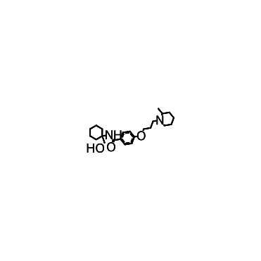 CC1CCCCN1CCCOc1ccc(C(=O)NC2(CO)CCCCC2)cc1